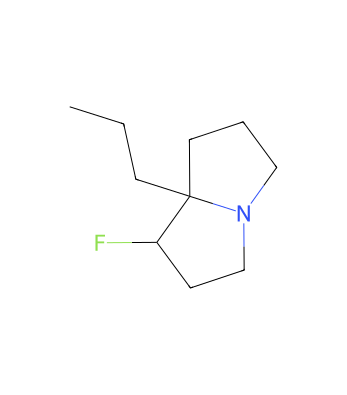 CCCC12CCCN1CCC2F